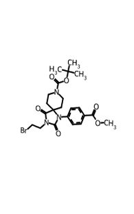 COC(=O)c1ccc(N2C(=O)N(CCBr)C(=O)C23CCN(C(=O)OC(C)(C)C)CC3)cc1